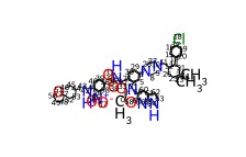 C[C@@H]1CN(c2cc(N3CCN(CC4=C(c5ccc(Cl)cc5)CC(C)(C)CC4)CC3)ccc2C(=O)NS(=O)(=O)c2ccc(NC[C@H]3CC[C@@]4(CCCO4)CC3)c([N+](=O)[O-])c2)c2cc3cc[nH]c3nc2O1